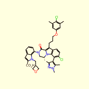 Cc1cc(OCCCc2c3n(c4c(-c5c(C)nn(C)c5C)c(Cl)ccc24)[C@H](C)CN(c2cccc4cc(C(=O)O)n(CC5COC5)c24)C3=O)cc(C)c1Cl